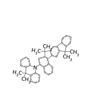 CC1(C)c2ccccc2-c2cc3c(cc21)-c1c(cc(N2c4ccccc4C(C)(C)c4ccccc42)c2ccccc12)C3(C)C